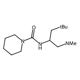 CNCC(CC(C)(C)C)NC(=O)N1CCCCC1